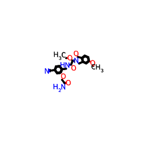 CCO[C@@H](C(=O)NCc1ccc(C#N)cc1OCC(N)=O)N1Cc2cc(OC)ccc2C1=O